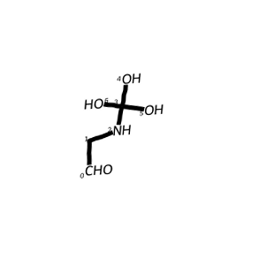 O=CCNC(O)(O)O